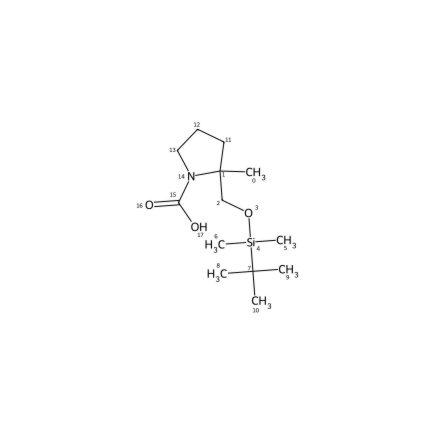 CC1(CO[Si](C)(C)C(C)(C)C)CCCN1C(=O)O